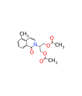 CC(=O)OCC(COC(C)=O)n1ccc2c(C)cccc2c1=O